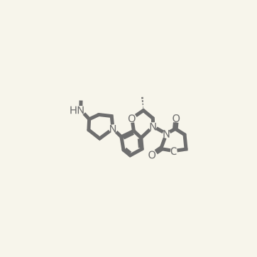 CNC1CCN(c2cccc3c2O[C@H](C)CN3N2C(=O)CCCC2=O)CC1